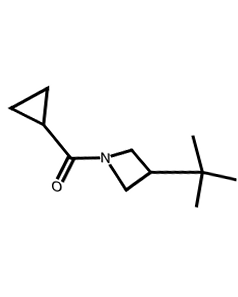 CC(C)(C)C1CN(C(=O)C2CC2)C1